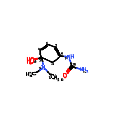 CN(C)C1(O)C=CC=C(NC(N)=O)C1